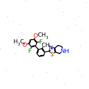 COc1cc(OC)c(F)c(-c2cccc(-c3nc4c(s3)CNCC4)c2C)c1F